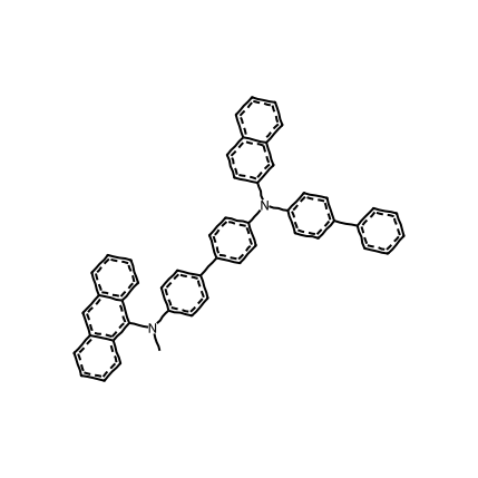 CN(c1ccc(-c2ccc(N(c3ccc(-c4ccccc4)cc3)c3ccc4ccccc4c3)cc2)cc1)c1c2ccccc2cc2ccccc12